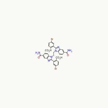 NC(=O)c1ccc2c(c1)nc(-c1cc(Br)ccc1C(=O)O)n2CCn1c(-c2cc(Br)ccc2C(=O)O)nc2cc(C(N)=O)ccc21